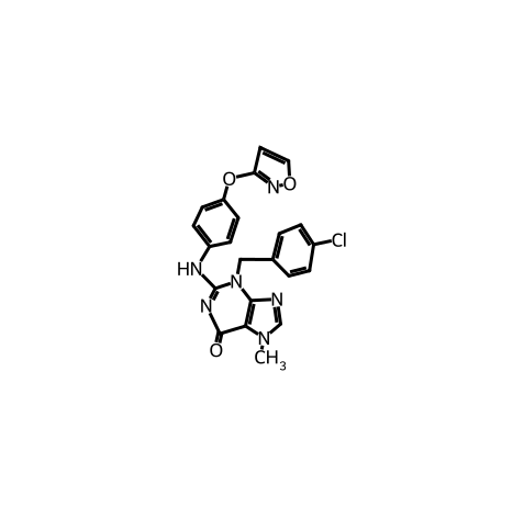 Cn1cnc2c1c(=O)nc(Nc1ccc(Oc3ccon3)cc1)n2Cc1ccc(Cl)cc1